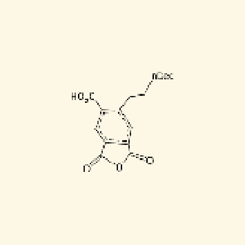 CCCCCCCCCCCCc1cc2c(cc1C(=O)O)C(=O)OC2=O